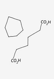 C1CCCCC1.O=C(O)CCCCC(=O)O